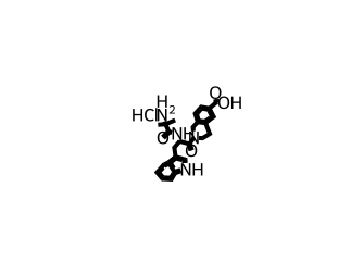 CC(C)(N)C(=O)NC(Cc1c[nH]c2ccccc12)C(=O)N1CCc2cc(C(=O)O)ccc2C1.Cl